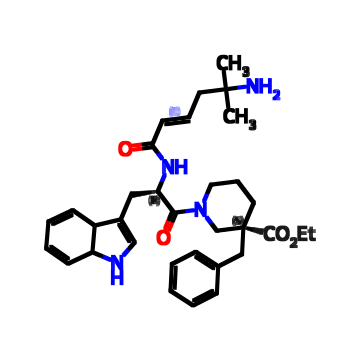 CCOC(=O)[C@]1(Cc2ccccc2)CCCN(C(=O)[C@@H](CC2=CNC3C=CC=CC23)NC(=O)/C=C/CC(C)(C)N)C1